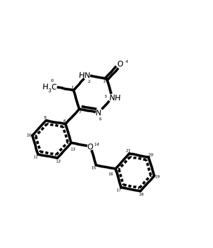 CC1NC(=O)NN=C1c1ccccc1OCc1ccccc1